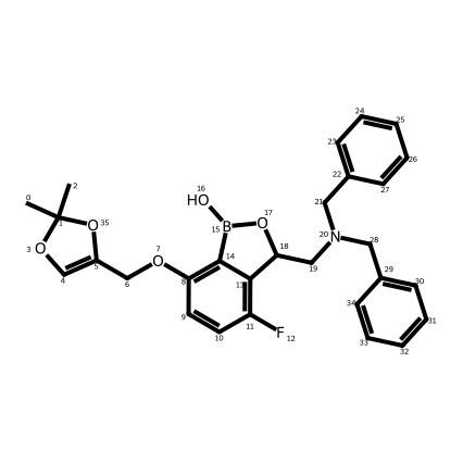 CC1(C)OC=C(COc2ccc(F)c3c2B(O)OC3CN(Cc2ccccc2)Cc2ccccc2)O1